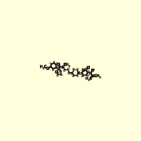 COc1cccc(C2(C(=O)N(C)CCCC3CCN(c4ccc(C(=O)N(C)C)c(Cl)n4)CC3)CCCO2)c1